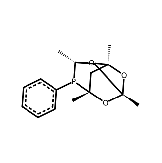 C[C@]12C[C@]3(C)O[C@](C)(C[C@](C)(O1)P3c1ccccc1)O2